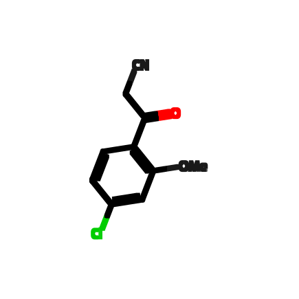 COc1cc(Cl)ccc1C(=O)CC#N